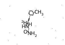 [2H]C([2H])(C#Cc1cccc(C)c1)NCC(N)=O